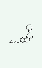 COCCCc1ccc(N(CCN2CCCCCC2)C(C)=O)c(C)c1